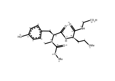 CSCC[C@@H](NC(=O)[C@H](Cc1ccc(O)cc1)N(C)C(=O)OC(C)(C)C)C(=O)NCC(=O)O